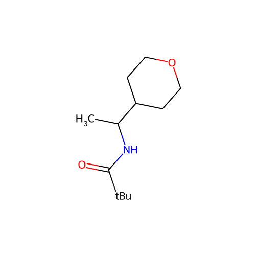 CC(NC(=O)C(C)(C)C)C1CCOCC1